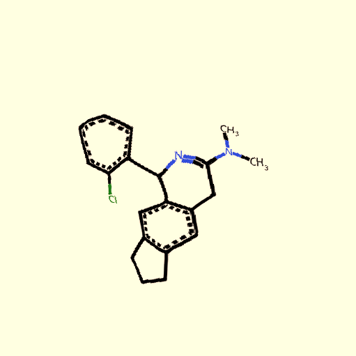 CN(C)C1=NC(c2ccccc2Cl)c2cc3c(cc2C1)CCC3